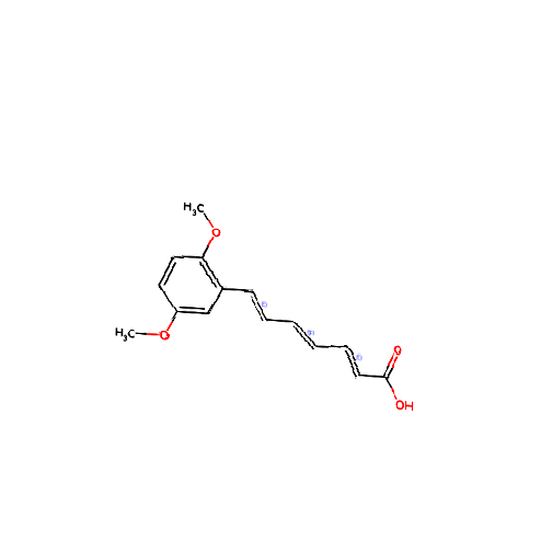 COc1ccc(OC)c(/C=C/C=C/C=C/C(=O)O)c1